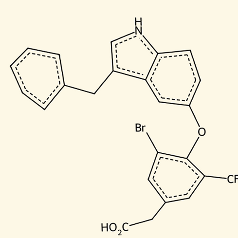 O=C(O)Cc1cc(Br)c(Oc2ccc3[nH]cc(Cc4ccccc4)c3c2)c(C(F)(F)F)c1